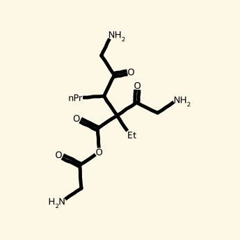 CCCC(C(=O)CN)C(CC)(C(=O)CN)C(=O)OC(=O)CN